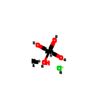 [Cl-].[Na+].[O]=[Mn](=[O])(=[O])[OH]